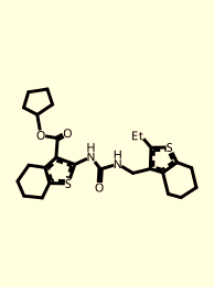 CCc1sc2c(c1CNC(=O)Nc1sc3c(c1C(=O)OC1CCCC1)CCCC3)CCCC2